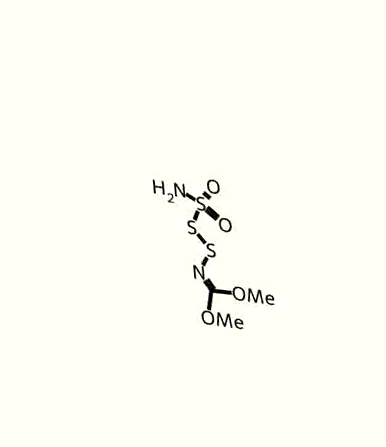 COC(=NSSS(N)(=O)=O)OC